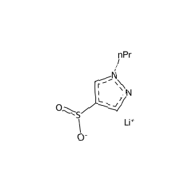 CCCn1cc(S(=O)[O-])cn1.[Li+]